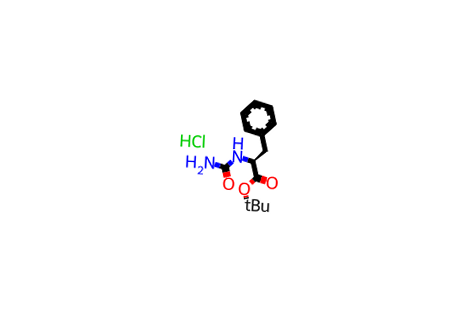 CC(C)(C)OC(=O)[C@H](Cc1ccccc1)NC(N)=O.Cl